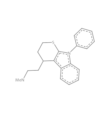 CNCCC1CCSc2c1c1ccccc1n2-c1ccccc1